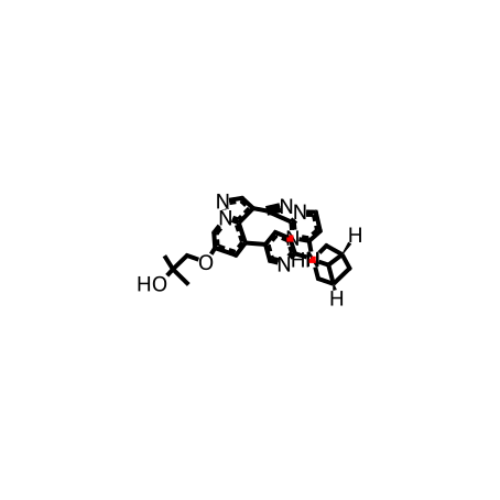 Cc1nccc(NC2[C@@H]3C[C@H]2CN(c2ccc(-c4cc(OCC(C)(C)O)cn5ncc(C#N)c45)cn2)C3)n1